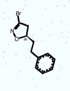 BrC1=NO[C@H](CCc2ccccc2)C1